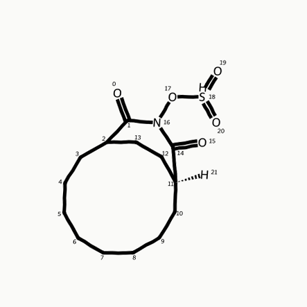 O=C1C2CCCCCCCC[C@@H](CC2)C(=O)N1O[SH](=O)=O